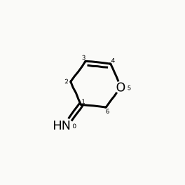 N=C1CC=COC1